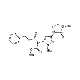 CC(C)(C)OC(=O)N(C(=O)OCc1ccccc1)c1cc([C@H]2OC[C@@H](O)[C@H]2F)nn1C(C)(C)C